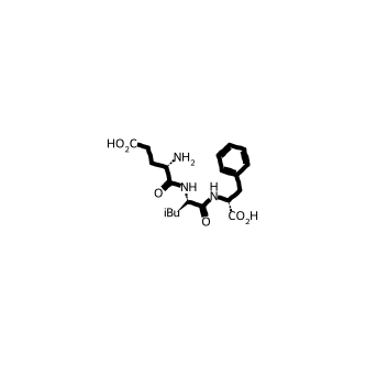 CC[C@H](C)[C@H](NC(=O)[C@@H](N)CCC(=O)O)C(=O)N[C@H](Cc1ccccc1)C(=O)O